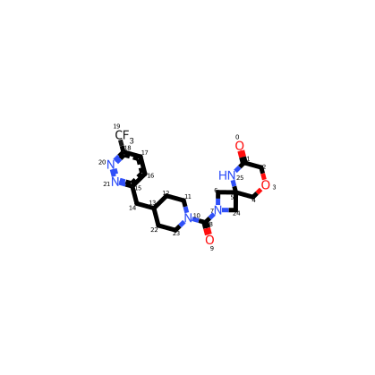 O=C1COCC2(CN(C(=O)N3CCC(Cc4ccc(C(F)(F)F)nn4)CC3)C2)N1